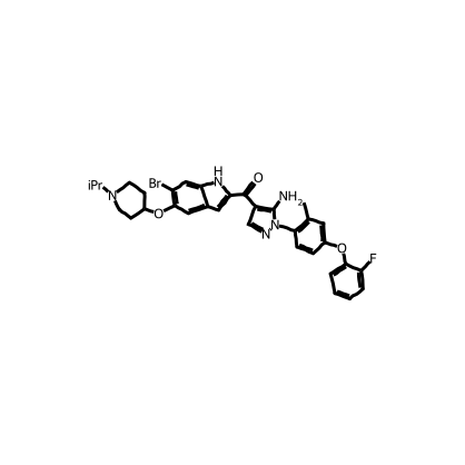 Cc1cc(Oc2ccccc2F)ccc1-n1ncc(C(=O)c2cc3cc(OC4CCN(C(C)C)CC4)c(Br)cc3[nH]2)c1N